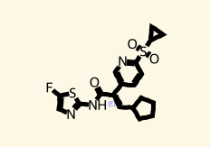 O=C(Nc1ncc(F)s1)/C(=C/C1CCCC1)c1ccc(S(=O)(=O)C2CC2)nc1